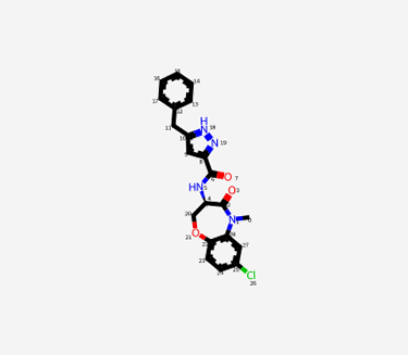 CN1C(=O)[C@H](NC(=O)c2cc(Cc3ccccc3)[nH]n2)COc2ccc(Cl)cc21